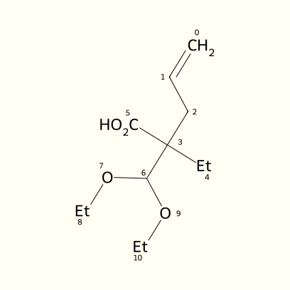 C=CCC(CC)(C(=O)O)C(OCC)OCC